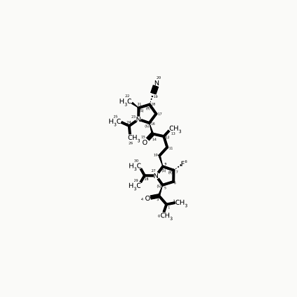 CC(C)C(=O)[C@@H]1C[C@@H](F)[C@H](CCC(C)C(=O)[C@@H]2C[C@@H](C#N)[C@H](C)N2C(C)C)N1C(C)C